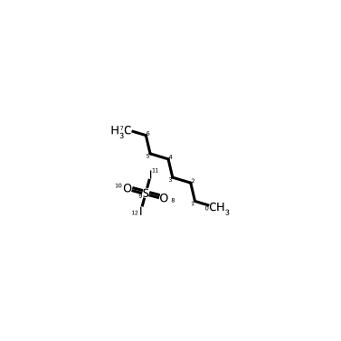 CCCCCCCC.O=S(=O)(I)I